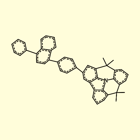 CC1(C)c2cccc3c2-n2c4c1cccc4c1cc(-c4ccc(-c5ccc(-c6ccccc6)c6ccccc56)cc4)cc(c12)C3(C)C